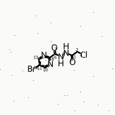 O=C(CCl)NNC(=O)c1ncc(Br)cn1